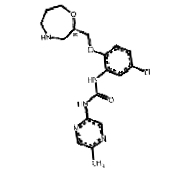 Cc1cnc(NC(=O)Nc2cc(Cl)ccc2OC[C@H]2CNCCCO2)cn1